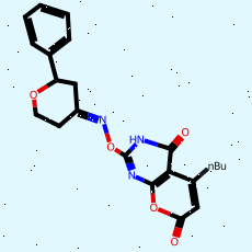 CCCCc1cc(=O)oc2nc(O/N=C3\CCOC(c4ccccc4)C3)[nH]c(=O)c12